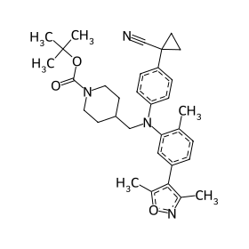 Cc1ccc(-c2c(C)noc2C)cc1N(CC1CCN(C(=O)OC(C)(C)C)CC1)c1ccc(C2(C#N)CC2)cc1